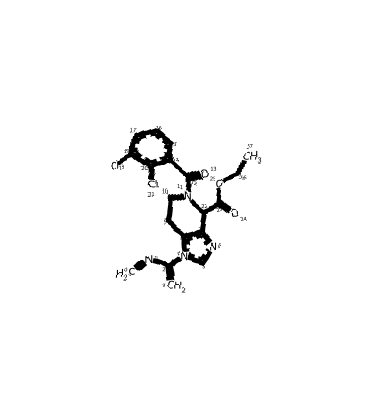 C=NC(=C)n1cnc2c1CCN(C(=O)c1cccc(Cl)c1Cl)C2C(=O)OCC